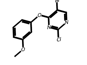 COc1cccc(Oc2nc(Cl)ncc2Br)c1